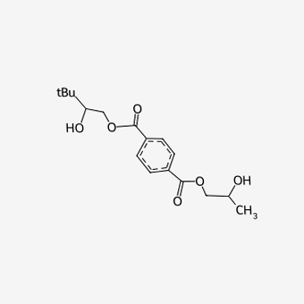 CC(O)COC(=O)c1ccc(C(=O)OCC(O)C(C)(C)C)cc1